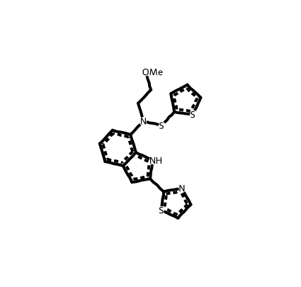 COCCN(Sc1cccs1)c1cccc2cc(-c3nccs3)[nH]c12